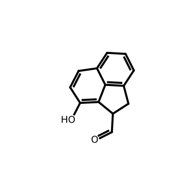 O=CC1Cc2cccc3ccc(O)c1c23